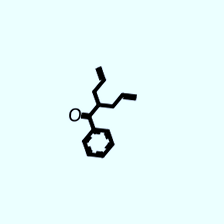 C=CCC(CC=C)C(=O)c1ccccc1